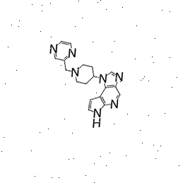 c1cnc(CN2CCC(n3cnc4cnc5[nH]ccc5c43)CC2)cn1